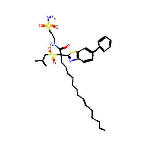 CCCCCCCCCCCCCCC(C(=O)NCCS(N)(=O)=O)(c1nc2ccc(-c3ccccc3)cc2s1)S(=O)(=O)CC(C)C